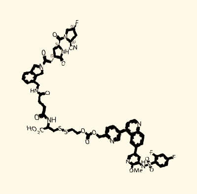 COc1ncc(-c2ccc3nccc(-c4ccc(COC(=O)OCCSSCC(NC(=O)CCC(=O)NCc5cccc6c5CN(C(=O)C[C@@H]5C[C@@H](C(=O)N7C[C@@H](F)C[C@H]7C#N)NC5=O)C6)C(=O)O)nc4)c3c2)cc1NS(=O)(=O)c1ccc(F)cc1F